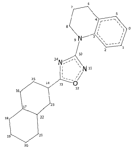 c1ccc2c(c1)CCCN2c1noc(C2CCC3CCCCC3C2)n1